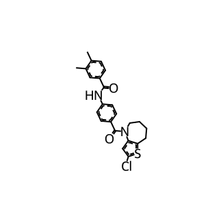 Cc1ccc(C(=O)Nc2ccc(C(=O)N3CCCCc4sc(Cl)cc43)cc2)cc1C